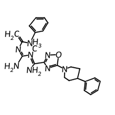 C=C(/N=C(N)\N=C(/N)c1noc(N2CCC(c3ccccc3)CC2)n1)N(C)c1ccccc1